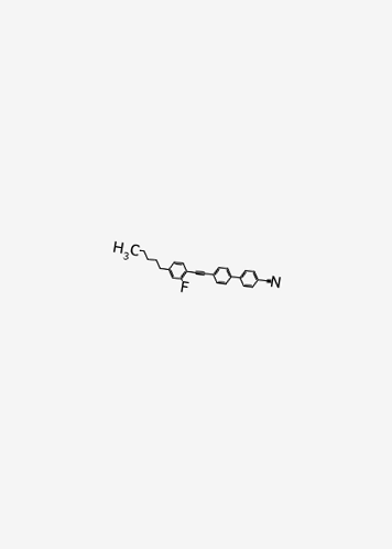 CCCCCc1ccc(C#Cc2ccc(-c3ccc(C#N)cc3)cc2)c(F)c1